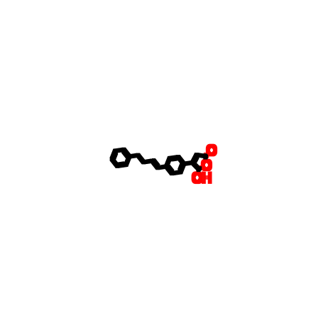 O=C1C=C(c2ccc(C=CCCc3ccccc3)cc2)C(O)O1